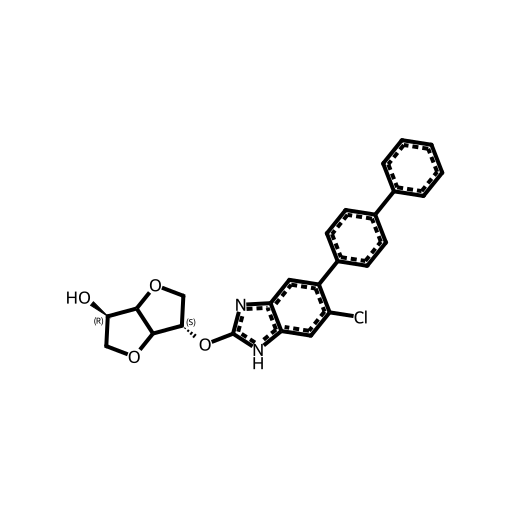 O[C@@H]1COC2C1OC[C@@H]2Oc1nc2cc(-c3ccc(-c4ccccc4)cc3)c(Cl)cc2[nH]1